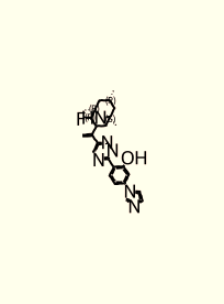 C=C(c1cnc(-c2ccc(-n3ccnc3)cc2O)nn1)C1C[C@]2(C)C[C@@H](C)C[C@@](C)(N2)[C@@H]1F